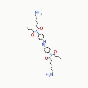 CC=CC(=O)N(C(=O)CCCCCN)c1ccc(N=Nc2ccc(N(C(=O)C=CC)C(=O)CCCCCN)cc2)cc1